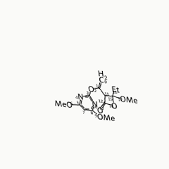 C=C(Oc1nc(OC)cc(OC)n1)C1C(=O)OC1(CC)OC